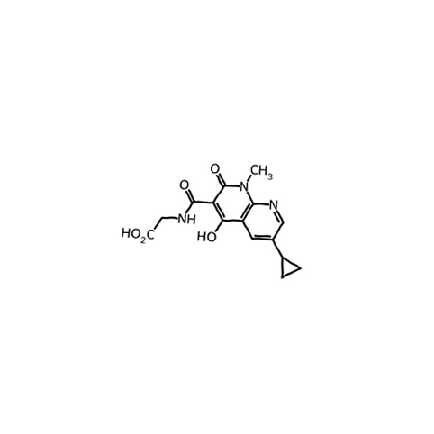 Cn1c(=O)c(C(=O)NCC(=O)O)c(O)c2cc(C3CC3)cnc21